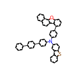 c1ccc(-c2ccc(-c3ccc(N(c4ccc(-c5cccc6oc7c8ccccc8ccc7c56)cc4)c4ccc5sc6ccccc6c5c4)cc3)cc2)cc1